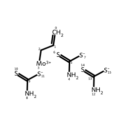 C=C[CH2][Mo+3].NC(=S)[S-].NC(=S)[S-].NC(=S)[S-]